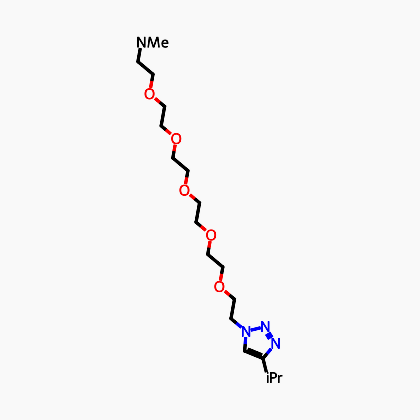 CNCCOCCOCCOCCOCCOCCn1cc(C(C)C)nn1